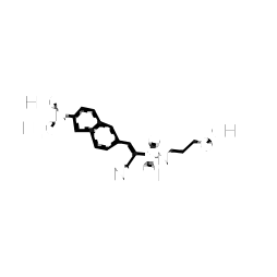 COCCCNS(=O)(=O)/C(C#N)=C/c1ccc2cc(N(C)C)ccc2c1